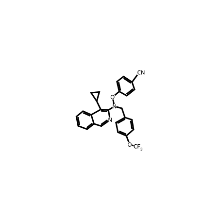 N#Cc1ccc(ON(Cc2ccc(OC(F)(F)F)cc2)c2ncc3ccccc3c2C2CC2)cc1